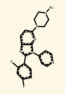 CC(=O)N1CCN(c2ccc3nc(-c4ccc(F)cc4F)n(-c4ccncc4)c3n2)CC1